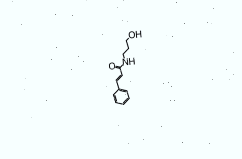 O=C(C=Cc1ccccc1)NCCCO